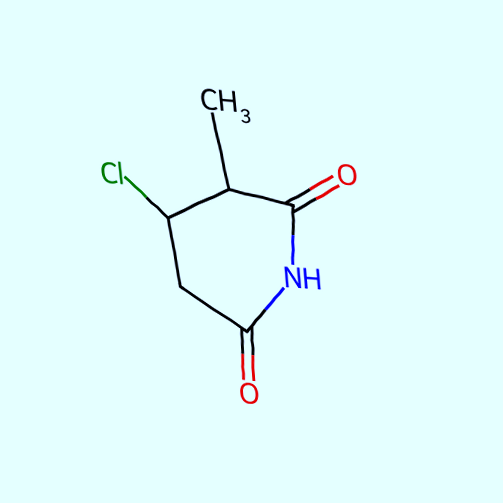 CC1C(=O)NC(=O)CC1Cl